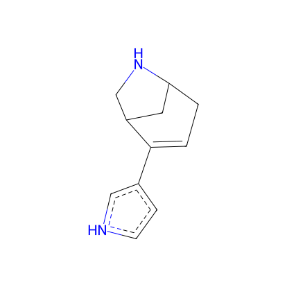 C1=C(c2cc[nH]c2)C2CNC(C1)C2